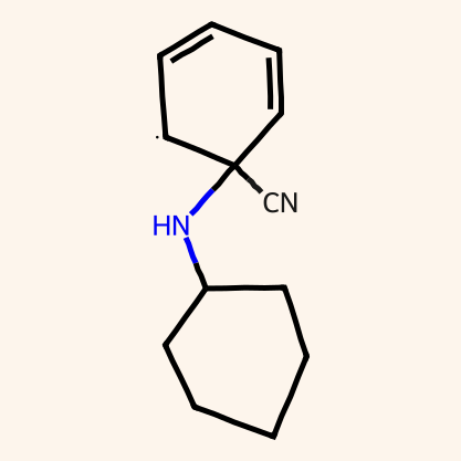 N#CC1(NC2CCCCC2)[CH]C=CC=C1